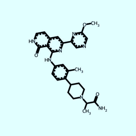 COc1cncc(-c2cc3cc[nH]c(=O)c3c(Nc3ccc(C4CCN(C(C)C(N)=O)CC4)c(C)c3)n2)n1